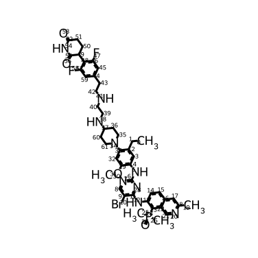 CCc1cc(Nc2ncc(Br)c(Nc3ccc4cc(C)ncc4c3P(C)(C)=O)n2)c(OC)cc1N1CCC(NCCNCCc2cc(F)c(C3CCC(=O)NC3=O)c(F)c2)CC1